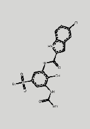 CCCC(=O)Nc1cc(S(=O)(=O)CC)cc(NC(=O)c2cc3cc(Cl)ccc3[nH]2)c1O